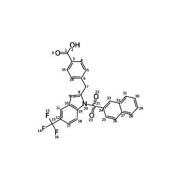 O=C(O)c1ccc(Cc2cc3cc(C(F)(F)F)ccc3n2S(=O)(=O)c2ccc3ccccc3c2)cc1